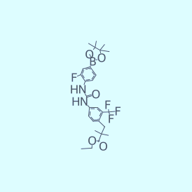 CCOC(=O)C(C)(C)Cc1ccc(NC(=O)Nc2ccc(B3OC(C)(C)C(C)(C)O3)cc2F)cc1C(F)(F)F